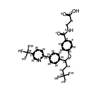 O=C(O)CCNC(=O)c1ccc(OC(CCC(F)(F)F)c2ccc(-c3ccc(C(F)(F)F)cn3)cc2)cc1